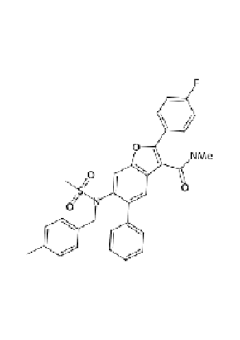 CNC(=O)c1c(-c2ccc(F)cc2)oc2cc(N(Cc3ccc(C)cc3)S(C)(=O)=O)c(-c3ccccc3)cc12